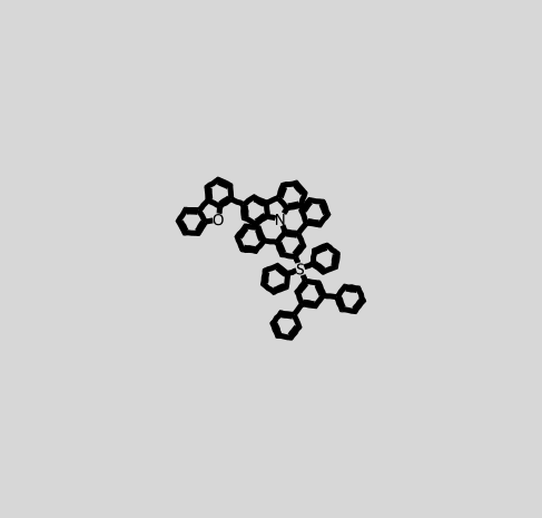 c1ccc(-c2cc(-c3ccccc3)cc(S(c3ccccc3)(c3ccccc3)c3cc(-c4ccccc4)c(-n4c5ccccc5c5cc(-c6cccc7c6oc6ccccc67)ccc54)c(-c4ccccc4)c3)c2)cc1